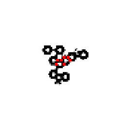 CC1(C)c2ccccc2-c2c(-c3ccc(N(c4ccc5c(c4)sc4ccccc45)c4cccc(-c5ccccc5)c4-c4ccccc4-c4ccccc4)cc3)cccc21